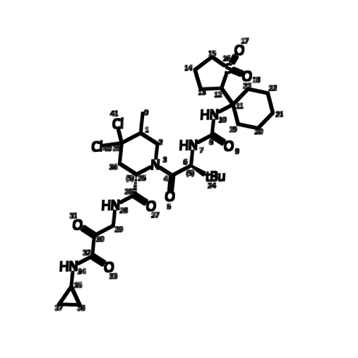 CC1CN(C(=O)[C@@H](NC(=O)NC2(C3CCCS3(=O)=O)CCCCC2)C(C)(C)C)[C@H](C(=O)NCC(=O)C(=O)NC2CC2)CC1(Cl)Cl